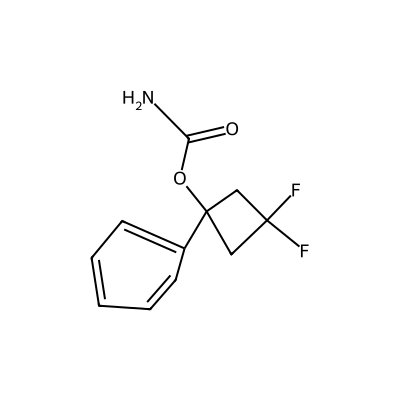 NC(=O)OC1(c2ccccc2)CC(F)(F)C1